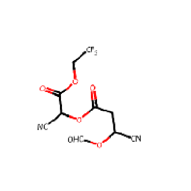 N#CC(CC(=O)OC(C#N)C(=O)OCC(F)(F)F)OC=O